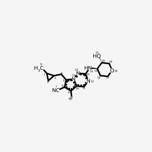 CC1CC1Cc1c(C#N)c(F)c2cnc(N[C@@H]3CCOC[C@H]3O)nn12